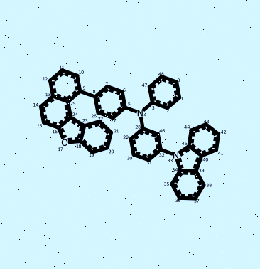 c1ccc(N(c2ccc(-c3cccc4ccc5oc6ccccc6c5c34)cc2)c2cccc(-n3c4ccccc4c4ccccc43)c2)cc1